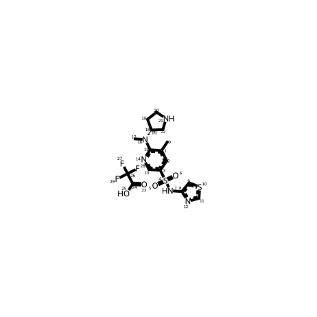 Cc1cc(S(=O)(=O)Nc2cscn2)cnc1N(C)[C@@H]1CCNC1.O=C(O)C(F)(F)F